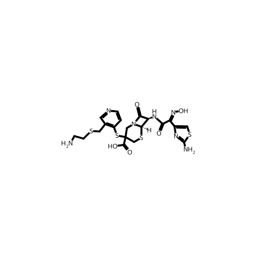 NCCSCc1cnccc1SC1(C(=O)O)CS[C@@H]2[C@H](NC(=O)C(=NO)c3csc(N)n3)C(=O)N2C1